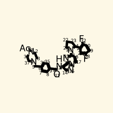 CC(=O)N1CCN(Cc2ccc(C(=O)Nc3cnn4ccc(N5CCCC5c5cc(F)ccc5F)nc34)cc2)CC1